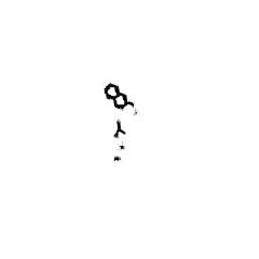 COC(=O)c1cc2ccccc2cc1OCC1CN(C(=O)OC(C)(C)C)C1